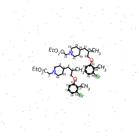 CCOC(=O)CN1CCC(CC(C)COc2cccc(Br)c2C)CC1.CCOC(=O)CN1CCC(C[C@@H](C)COc2cccc(Br)c2C)CC1